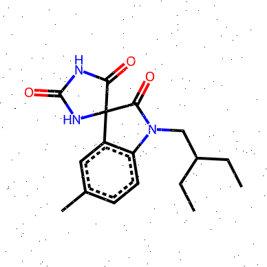 CCC(CC)CN1C(=O)C2(NC(=O)NC2=O)c2cc(C)ccc21